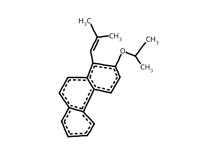 CC(C)=Cc1c(OC(C)C)ccc2c1ccc1ccccc12